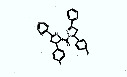 O=C(N1N=C(c2ccccc2)CC1c1ccc(F)cc1)N1N=C(c2ccccc2)CC1c1ccc(F)cc1